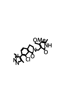 COCc1cc(C)[nH]c(=O)c1CN1CCc2ccc(-c3c(C)nnn3C)c(Cl)c2C1=O